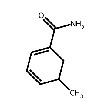 CC1C=CC=C(C(N)=O)C1